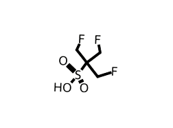 O=S(=O)(O)C(CF)(CF)CF